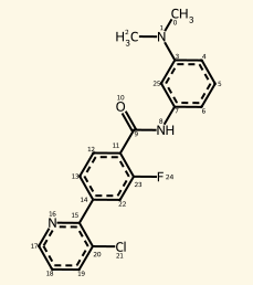 CN(C)c1cccc(NC(=O)c2ccc(-c3ncccc3Cl)cc2F)c1